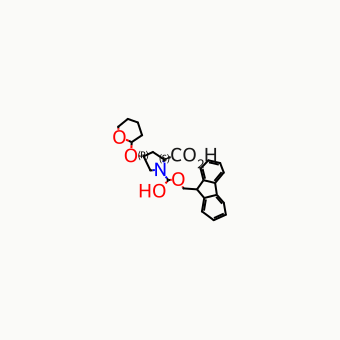 O=C(O)[C@@H]1C[C@@H](OC2CCCCO2)CN1C(O)OCC1c2ccccc2-c2ccccc21